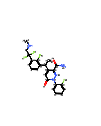 CNCC(F)(F)c1cccc(C(C)c2cc(=O)n(-c3ccccc3F)nc2C(N)=O)c1F